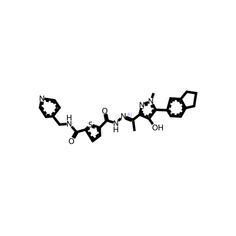 C/C(=N\NC(=O)c1ccc(C(=O)NCc2ccncc2)s1)c1nn(C)c(-c2ccc3c(c2)CCC3)c1O